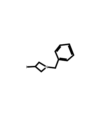 IC1CN(Cc2ccccc2)C1